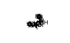 Cc1[nH]c(C=C2C(=O)NN=C2c2cnccn2)c(C)c1CN1CCCCC1